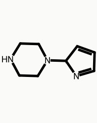 C1=C[C](N2CCNCC2)N=C1